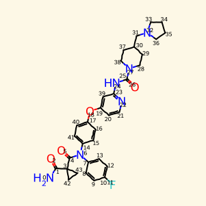 NC(=O)C1(C(=O)N(c2ccc(F)cc2)c2ccc(Oc3ccnc(NC(=O)N4CCC(CN5CCCC5)CC4)c3)cc2)CC1